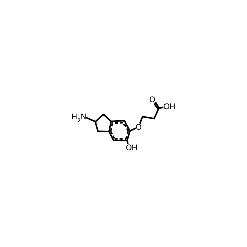 NC1Cc2cc(O)c(OCCC(=O)O)cc2C1